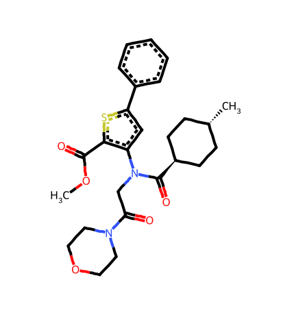 COC(=O)c1sc(-c2ccccc2)cc1N(CC(=O)N1CCOCC1)C(=O)[C@H]1CC[C@H](C)CC1